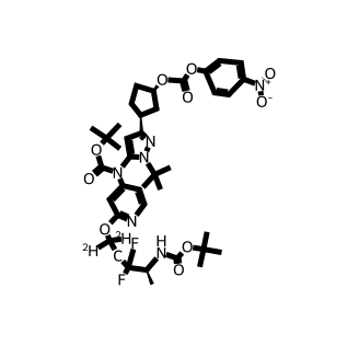 [2H]C([2H])(CC(F)(F)[C@H](C)NC(=O)OC(C)(C)C)Oc1cc(N(C(=O)OC(C)(C)C)c2cc([C@H]3CC[C@@H](OC(=O)Oc4ccc([N+](=O)[O-])cc4)C3)nn2C(C)(C)C)ccn1